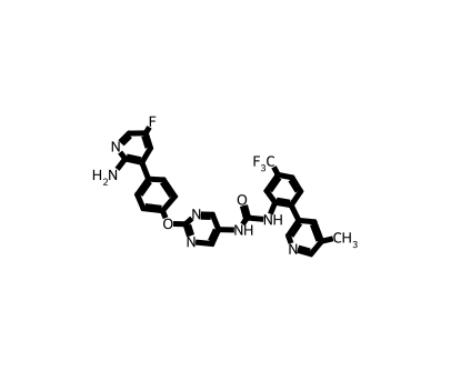 Cc1cncc(-c2ccc(C(F)(F)F)cc2NC(=O)Nc2cnc(Oc3ccc(-c4cc(F)cnc4N)cc3)nc2)c1